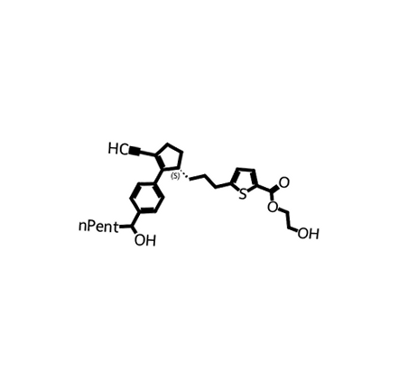 C#CC1=C(c2ccc(C(O)CCCCC)cc2)[C@@H](CCCc2ccc(C(=O)OCCO)s2)CC1